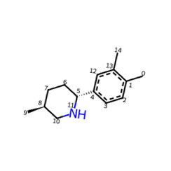 Cc1ccc([C@H]2CC[C@H](C)CN2)cc1C